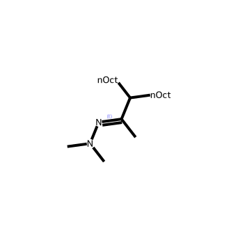 CCCCCCCCC(CCCCCCCC)/C(C)=N/N(C)C